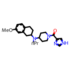 CCCN(C1CCN(C(=O)c2c[nH]cn2)CC1)C1CCc2ccc(OC)cc2C1